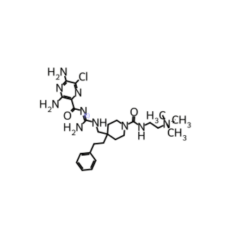 C[N+](C)(C)CCNC(=O)N1CCC(CCc2ccccc2)(CN/C(N)=N/C(=O)c2nc(Cl)c(N)nc2N)CC1